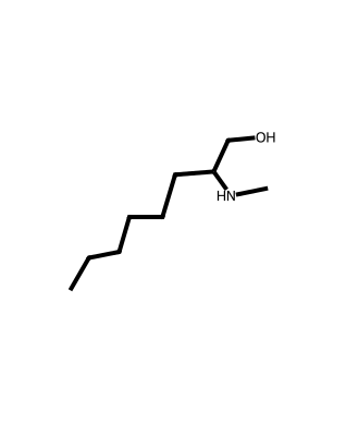 CCCCCCC(CO)NC